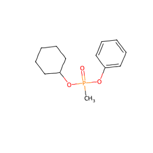 CP(=O)(Oc1ccccc1)OC1CCCCC1